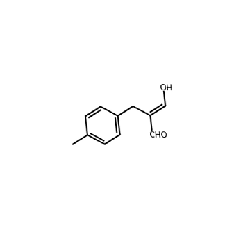 Cc1ccc(C/C(C=O)=C\O)cc1